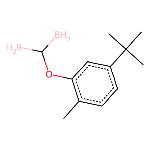 BC(B)Oc1cc(C(C)(C)C)ccc1C